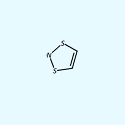 C1=CS[N]S1